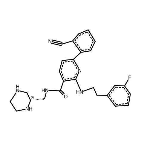 N#Cc1ccccc1-c1ccc(C(=O)NC[C@H]2CNCCN2)c(NCCc2cccc(F)c2)n1